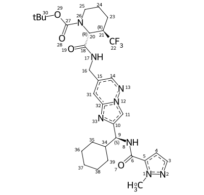 Cn1nccc1C(=O)N[C@H](c1cn2ncc(CNC(=O)[C@H]3[C@H](C(F)(F)F)CCCN3C(=O)OC(C)(C)C)cc2n1)C1CCCCC1